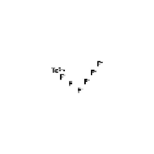 [F-].[F-].[F-].[F-].[F-].[F-].[Tc+6]